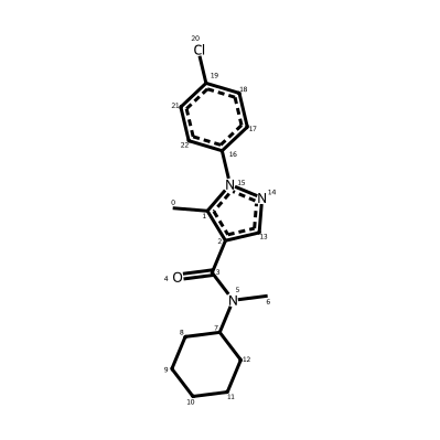 Cc1c(C(=O)N(C)C2CCCCC2)cnn1-c1ccc(Cl)cc1